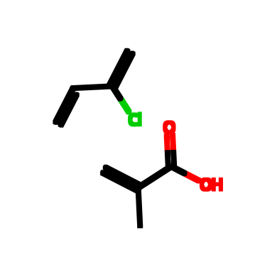 C=C(C)C(=O)O.C=CC(=C)Cl